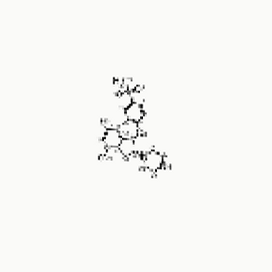 CS(=O)(=O)c1ccc(OC2c3cc(F)cc(Cl)c3CC2N2CCNCC2)cc1